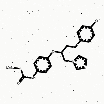 CNSC(=O)Nc1ccc(OC(CCc2ccc(Cl)cc2)Cn2ccnc2)cc1